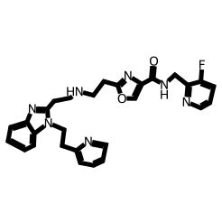 O=C(NCc1ncccc1F)c1coc(CCNCCc2nc3ccccc3n2CCc2ccccn2)n1